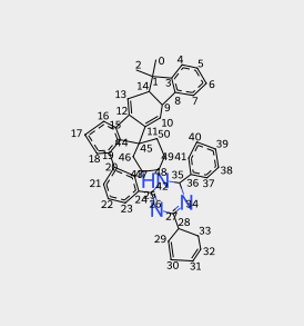 CC1(C)c2ccccc2C2C=C3C(=CC21)c1cccc(-c2cccc(C4=NC(C5C=CC=CC5)=NC(c5ccccc5)N4)c2)c1C31CCCCC1